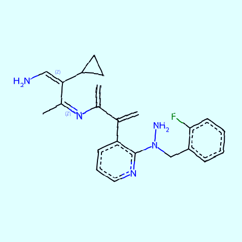 C=C(/N=C(C)\C(=C/N)C1CC1)C(=C)c1cccnc1N(N)Cc1ccccc1F